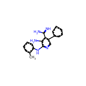 Cc1ccccc1Nc1ncc(-c2ccccc2)c(C(=N)N)c1N